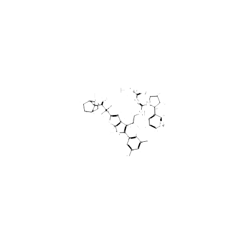 Cc1cc(C)cc(-c2[nH]c3sc(C(C)(C)C(=O)C4C5CCC4NC5)cc3c2[C@H](C)CNC(=NC(N)=O)N2CCCC2c2cccnc2)c1